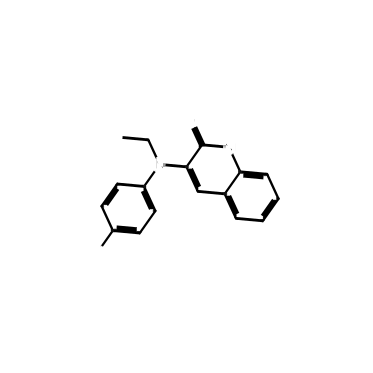 CCN(c1ccc(F)cc1)c1cc2ccccc2[nH]c1=O